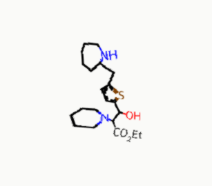 CCOC(=O)C(C(O)c1ccc(CC2CCCCCN2)s1)N1CCCCC1